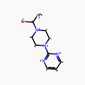 CCCC(Br)N1CCN(c2ncccn2)CC1